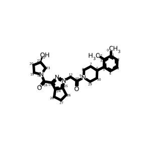 Cc1cccc(C2CCN(C(=O)Cn3nc(C(=O)N4CC[C@@H](O)C4)c4c3CCC4)CC2)c1C